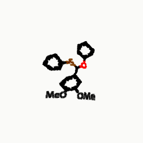 COc1ccc(C(Oc2ccccc2)Sc2ccccc2)cc1OC